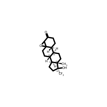 C[C@]12CC[C@H]3[C@@H](CCC45OC4C(=O)CC[C@H]35)[C@@H]1CC[C@@]2(O)C(F)(F)F